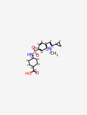 Cn1c(C2CC2)cc2ccc(S(=O)(=O)NC3CCC(C(=O)O)CC3)cc21